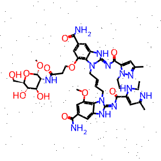 CCN/C(=C\C(C)=N)C(=O)/N=c1/[nH]c2cc(C(N)=O)cc(OC)c2n1C/C=C/Cn1/c(=N/C(=O)c2cc(C)nn2CC)[nH]c2cc(C(N)=O)cc(OCCC(=O)N[C@H]3[C@@H](OC)O[C@H](CO)[C@@H](O)[C@@H]3O)c21